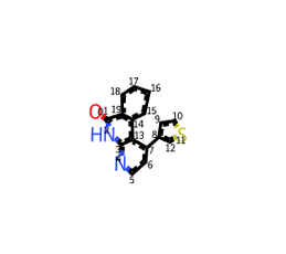 O=c1[nH]c2nccc(-c3ccsc3)c2c2ccccc12